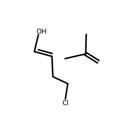 C=C(C)C.OC=CCCCl